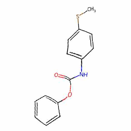 CSc1ccc(NC(=O)Oc2ccccc2)cc1